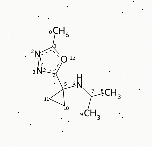 Cc1nnc(C2(NC(C)C)CC2)o1